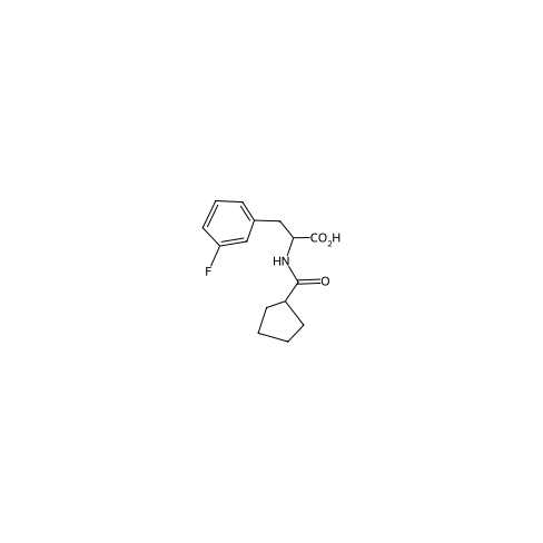 O=C(NC(Cc1cccc(F)c1)C(=O)O)C1CCCC1